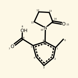 Cc1cccc(C(=O)O)c1N1CCCC1=O